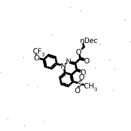 CCCCCCCCCCCOC(=O)c1nn(-c2ccc(OC(F)(F)F)cc2)c2cccc(S(C)(=O)=O)c2c1=O